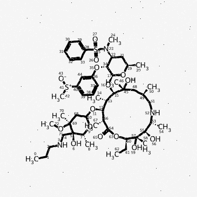 CCCNC[C@@]1(O)[C@@H](C)OC(O[C@H]2[C@H](C)[C@@H](O[C@@H]3O[C@H](C)C[C@H](N(C)S(=O)(=O)c4ccccc4)[C@H]3Oc3cccc([S+](C)[O-])c3)[C@](C)(O)C[C@@H](C)CN[C@H](C)[C@@H](O)[C@](C)(O)[C@@H](CC)OC(=O)[C@@H]2C)C[C@]1(C)OC